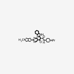 CC(C)N1CCC(NC(=O)c2c(=O)c3cnc(N4CC5CN(C)CC5C4)nc3n3c2[nH]c2ccccc23)CC1